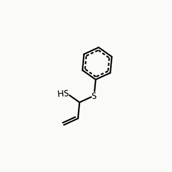 C=CC(S)Sc1ccccc1